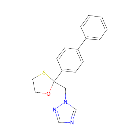 c1ccc(-c2ccc(C3(Cn4cncn4)OCCS3)cc2)cc1